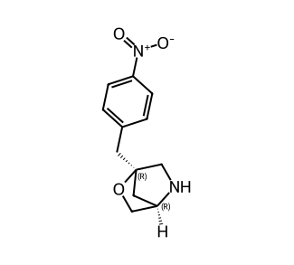 O=[N+]([O-])c1ccc(C[C@@]23CN[C@@H](CO2)C3)cc1